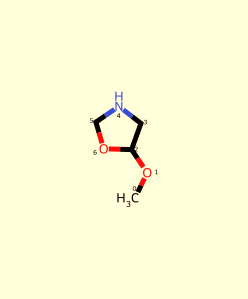 COC1CN[CH]O1